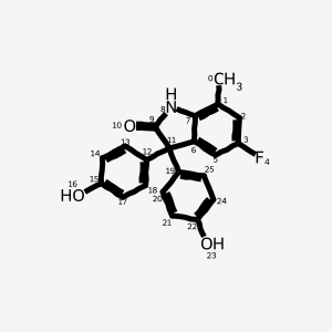 Cc1cc(F)cc2c1NC(=O)C2(c1ccc(O)cc1)c1ccc(O)cc1